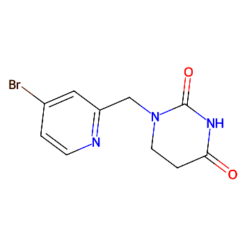 O=C1CCN(Cc2cc(Br)ccn2)C(=O)N1